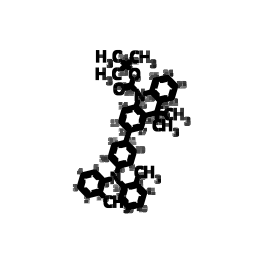 Cc1ccccc1N(c1ccc(-c2ccc3c(c2)C(C)(C)c2ccccc2N3C(=O)OC(C)(C)C)cc1)c1ccccc1C